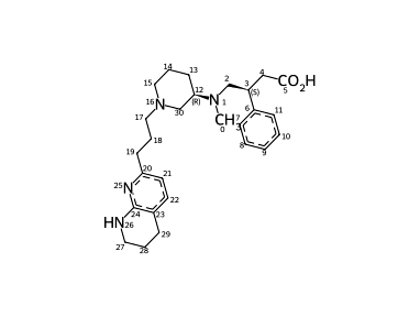 CN(C[C@@H](CC(=O)O)c1ccccc1)[C@@H]1CCCN(CCCc2ccc3c(n2)NCCC3)C1